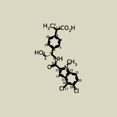 CC(C(=O)O)c1ccc([C@@H](CO)NC(=O)c2cc3c(Cl)c(Cl)ccc3n2C)cc1